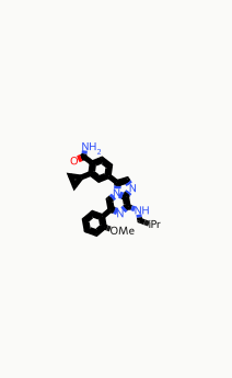 COc1ccccc1-c1cn2c(-c3ccc(C(N)=O)c(C4CC4)c3)cnc2c(NCC(C)C)n1